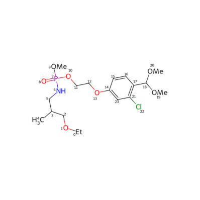 CCOCC(C)CNP(=O)(OC)OCCOc1ccc(C(OC)OC)c(Cl)c1